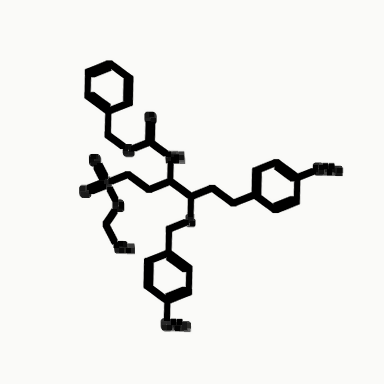 COc1ccc(CCC(SCc2ccc(OC)cc2)C(CCS(=O)(=O)OCC(C)(C)C)NC(=O)OCc2ccccc2)cc1